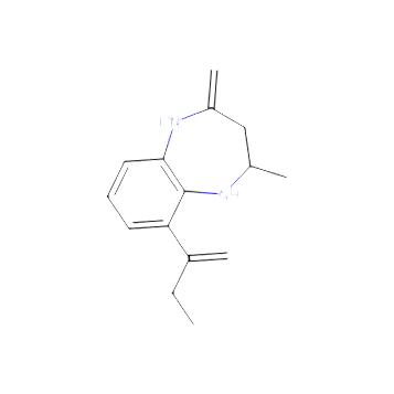 C=C1CC(C)Nc2c(cccc2C(=C)CC)N1